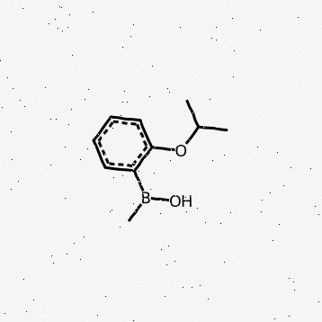 CB(O)c1ccccc1OC(C)C